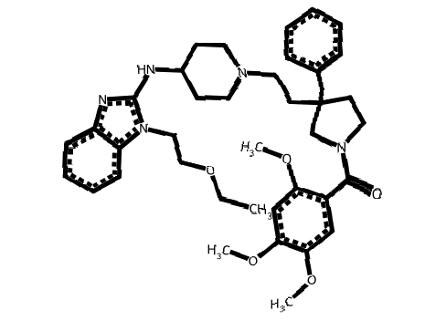 CCOCCn1c(NC2CCN(CCC3(c4ccccc4)CCN(C(=O)c4cc(OC)c(OC)cc4OC)C3)CC2)nc2ccccc21